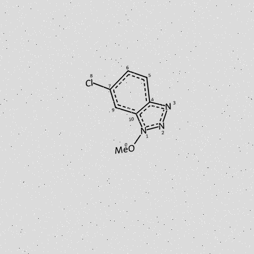 COn1nnc2ccc(Cl)cc21